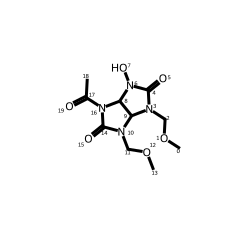 COCN1C(=O)N(O)C2C1N(COC)C(=O)N2C(C)=O